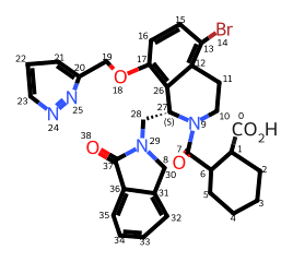 O=C(O)C1CCCCC1C(=O)N1CCc2c(Br)ccc(OCc3cccnn3)c2[C@H]1CN1Cc2ccccc2C1=O